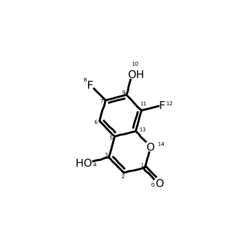 O=c1cc(O)c2cc(F)c(O)c(F)c2o1